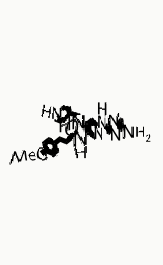 COc1ccc(CCC(=O)Nc2cnc(Nc3cnc(N)cn3)cc2NCC2CCNCC2)cc1